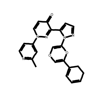 Cc1cc(-n2ccc(=O)c(-c3ccnn3C3=COC=C(C4=CC=CCC4)O3)n2)ccn1